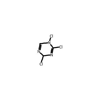 ClC1=NC(Cl)N=CN1Cl